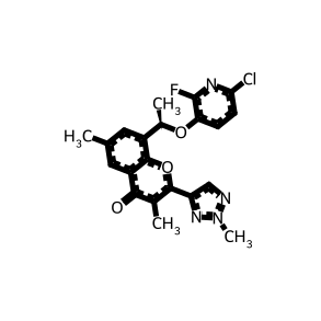 Cc1cc([C@@H](C)Oc2ccc(Cl)nc2F)c2oc(-c3cnn(C)n3)c(C)c(=O)c2c1